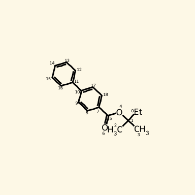 CCC(C)(C)OC(=O)c1ccc(-c2ccccc2)cc1